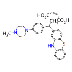 CC(c1ccc(N2CCN(C)CC2)cc1)c1ccc2c(c1)Nc1ccccc1S2.O=C(O)/C=C\C(=O)O